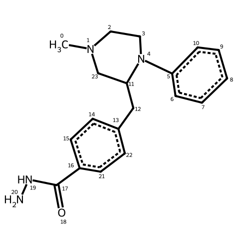 CN1CCN(c2ccccc2)C(Cc2ccc(C(=O)NN)cc2)C1